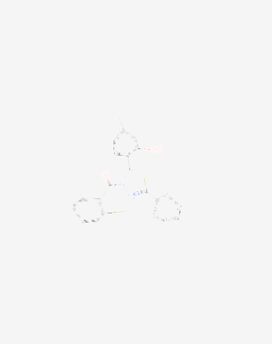 Cc1ccc(C2SC(c3ccc(Cl)cc3)=NN2C(=O)c2c(F)cc(F)cc2F)c(O)c1